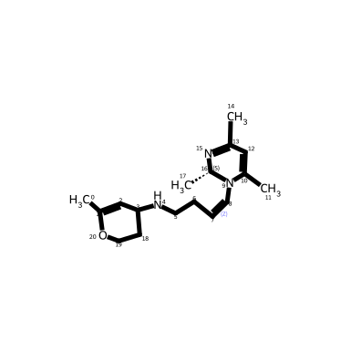 CC1=CC(NCC/C=C\N2C(C)=CC(C)=N[C@H]2C)CCO1